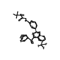 CC(C)(C)NC(=O)COc1cccc(-c2nc(Nc3cn[nH]c3)c3cc(C(F)(F)F)ccc3n2)c1